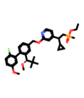 CCOP(C)(=O)CC(c1ccnc(OCc2ccc(-c3cc(OC)ccc3F)c([C@@H](OC)C(C)(C)C)c2)c1)C1CC1